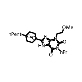 CCCCCC12CCC(c3nc4c([nH]3)c(=O)n(CCC)c(=O)n4CCOC)(CC1)CC2